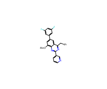 COc1cc(-c2cc(F)cc(F)c2)cc2c(CC(C)C)nc(-c3cccnc3)nc12